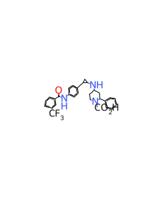 O=C(Nc1ccc(C2CC2NC2CCN(C(=O)O)C(c3ccccc3)C2)cc1)c1cccc(C(F)(F)F)c1